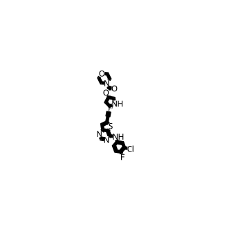 O=C(O[C@H]1CN[C@H](C#Cc2cc3ncnc(Nc4ccc(F)c(Cl)c4)c3s2)C1)N1CCOCC1